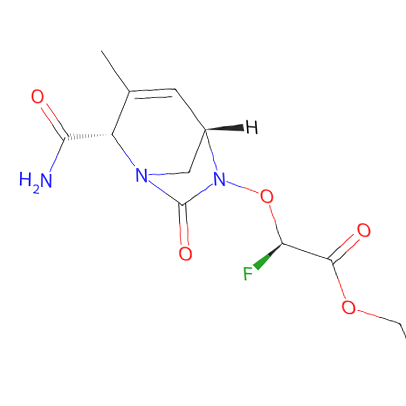 CCOC(=O)[C@@H](F)ON1C(=O)N2C[C@@H]1C=C(C)[C@H]2C(N)=O